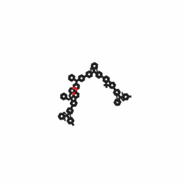 Cc1ccc(N(c2ccccc2)c2ccc(-c3ccc4c(c3)C(C)(C)c3cc(-c5ccc(N(c6ccccc6)c6ccc(-c7ccc(C(c8ccccc8)c8ccc(-c9ccc%10c(c9)C(Cc9ccccc9)(Cc9ccccc9)c9cc(-c%11ccc(N(c%12ccccc%12)c%12ccc(C)cc%12)cc%11)ccc9-%10)cc8)cc7)cc6)cc5)ccc3-4)cc2)cc1